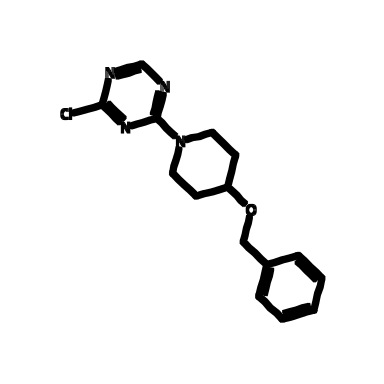 Clc1ncnc(N2CCC(OCc3ccccc3)CC2)n1